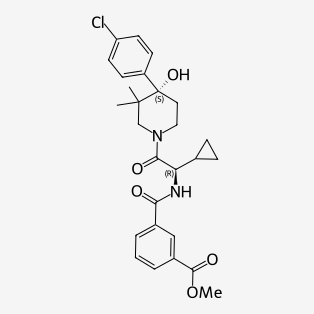 COC(=O)c1cccc(C(=O)N[C@@H](C(=O)N2CC[C@](O)(c3ccc(Cl)cc3)C(C)(C)C2)C2CC2)c1